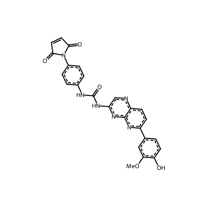 COc1cc(-c2ccc3ncc(NC(=O)Nc4ccc(N5C(=O)C=CC5=O)cc4)nc3n2)ccc1O